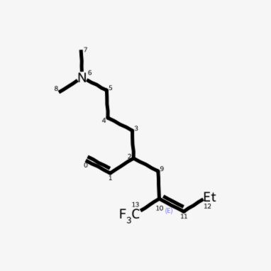 C=CC(CCCN(C)C)C/C(=C\CC)C(F)(F)F